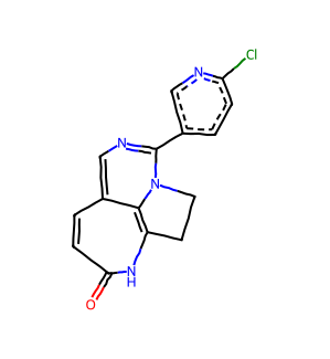 O=C1C=CC2=CN=C(c3ccc(Cl)nc3)N3CCC(=C23)N1